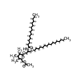 CCCCCCCCCCCCCCCCOCC(CO[C@@H]1OC(COC(C)=O)[C@@H](C)[C@H](C)C1C)NC(=O)CCCCCCCCCCCCCCC